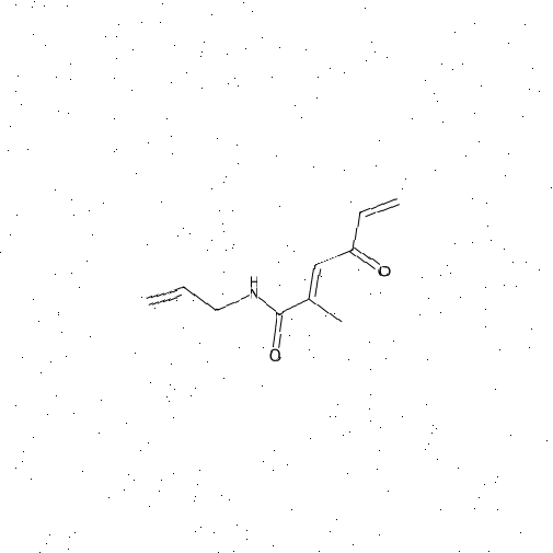 C=CCNC(=O)C(C)=CC(=O)C=C